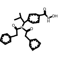 CC(C)C(c1ccc(C(=O)NO)cc1)N(C(=O)Cc1ccccc1)C(=O)Cc1ccccc1